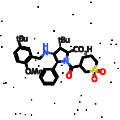 COc1ccc(C(C)(C)C)cc1CN[C@H]1[C@H](C(C)(C)C)[C@@H](C(=O)O)N(C(=O)C2CCCS(=O)(=O)C2)[C@H]1c1ccccc1